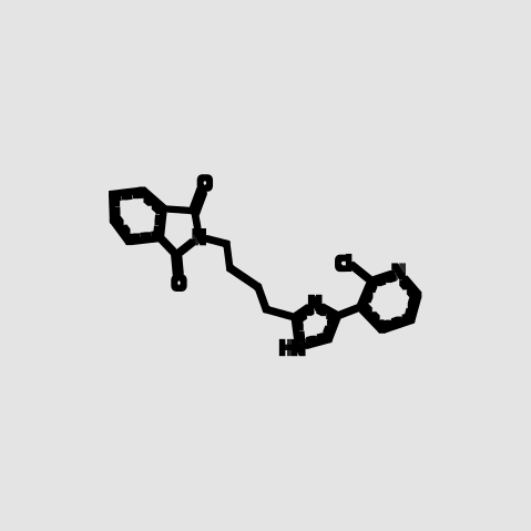 O=C1c2ccccc2C(=O)N1CCCCc1nc(-c2cccnc2Cl)c[nH]1